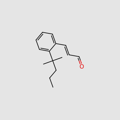 CCCC(C)(C)c1ccccc1/C=C/C=O